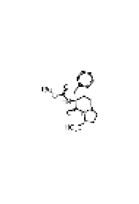 CC(C)(C)OC(=O)N[C@@]1(Cc2ccccc2)CCB2CC[C@@H](C(=O)O)N2C1=O